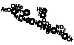 COc1ccc(CN2CCN(C3CC4(CCN(c5ccc(C(=O)NS(=O)(=O)c6ccc(NC[C@H]7CC[C@](C)(O)CC7)c([N+](=O)[O-])c6)c(Oc6cnc7[nH]ccc7c6)c5)CC4)C3)C(c3ccccc3C(C)C)C2)cc1OC